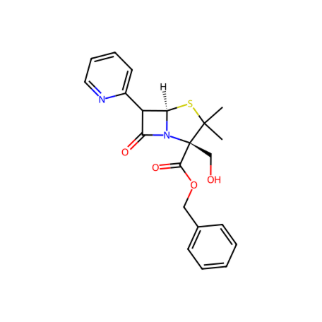 CC1(C)S[C@@H]2C(c3ccccn3)C(=O)N2[C@@]1(CO)C(=O)OCc1ccccc1